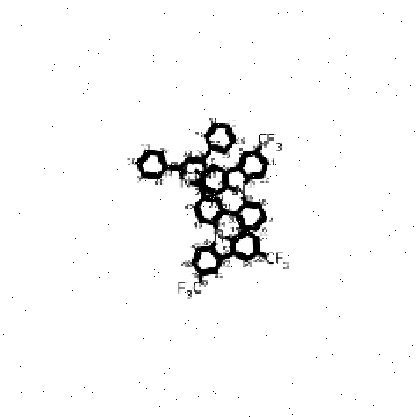 FC(F)(F)c1ccc2c(c1)c1cc(C(F)(F)F)ccc1n2-c1ccccc1-c1cc(-c2nc(-c3ccccc3)cc(-c3ccccc3)n2)ccc1-n1c2ccc(C(F)(F)F)cc2c2cc(C(F)(F)F)ccc21